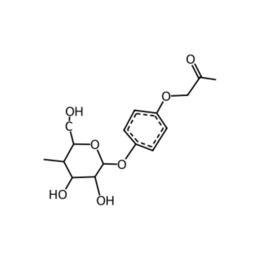 CC(=O)COc1ccc(OC2OC(CO)C(C)C(O)C2O)cc1